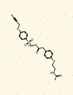 CC#CCOc1ccc(S(=O)(=O)NOC(=O)Cc2ccc(OCCNC(C)=O)cc2)cc1